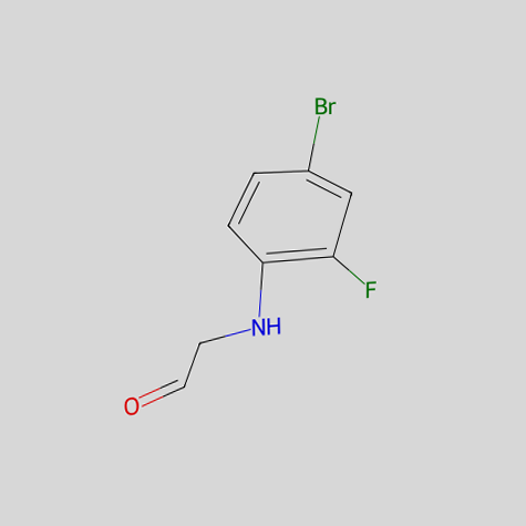 O=CCNc1ccc(Br)cc1F